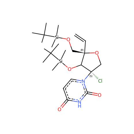 C=C[C@]1(CO[Si](C)(C)C(C)(C)C)OC[C@@](Cl)(n2ccc(=O)[nH]c2=O)C1O[Si](C)(C)C(C)(C)C